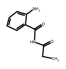 CCC(=O)NC(=O)c1cc[c]cc1N